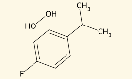 CC(C)c1ccc(F)cc1.OO